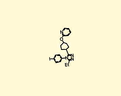 CCc1nnc(C2CCC(Oc3ccccn3)CC2)n1-c1ccc(I)cc1